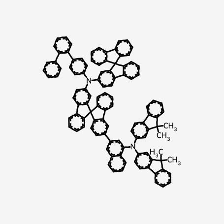 CC1(C)c2ccccc2-c2ccc(N(c3ccc4c(c3)C(C)(C)c3ccccc3-4)c3cc(-c4ccc5c(c4)-c4ccccc4C54c5ccccc5-c5ccc(N(c6ccc(-c7ccccc7-c7ccccc7)cc6)c6ccc7c(c6)C6(c8ccccc8-c8ccccc86)c6ccccc6-7)cc54)cc4ccccc34)cc21